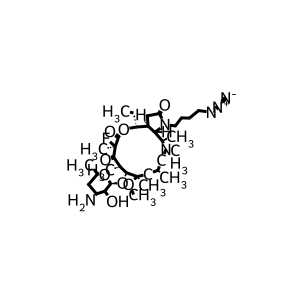 CC[C@H]1OC(=O)[C@](C)(F)C(=O)[C@@H](C)[C@@H](O[C@@H]2OC(C)CC(N)C2O)[C@](C)(OC)C[C@@H](C)CN(C)[C@H](C)[C@@H]2[C@@H]1CC(=O)N2CCCCN=[N+]=[N-]